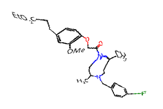 CCOC(=O)CCc1ccc(OCC(=O)N2CC(C)N(Cc3ccc(F)cc3)CC2C)c(OC)c1